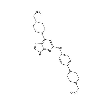 NCC1CCN(c2nc(Nc3ccc(N4CCN(CC=O)CC4)cc3)nc3[nH]ccc23)CC1